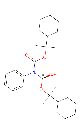 CC(C)(OC(=O)N(c1ccccc1)[C@@H](O)OC(C)(C)C1CCCCC1)C1CCCCC1